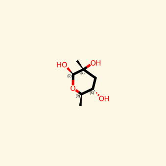 C[C@H]1O[C@@H](O)[C@](C)(O)C[C@@H]1O